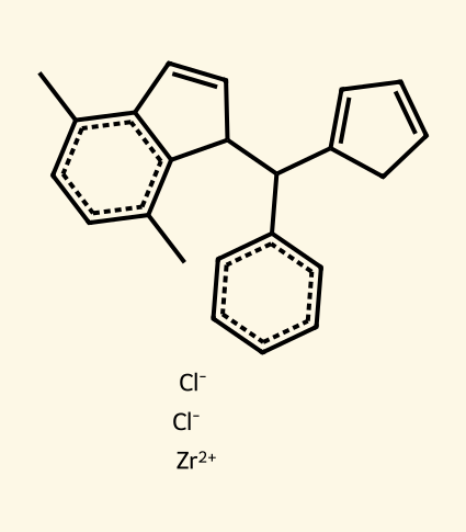 Cc1ccc(C)c2c1C=CC2C(C1=CC=CC1)c1ccccc1.[Cl-].[Cl-].[Zr+2]